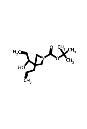 C=CCC1(C(O)C=C)CN(C(=O)OC(C)(C)C)C1